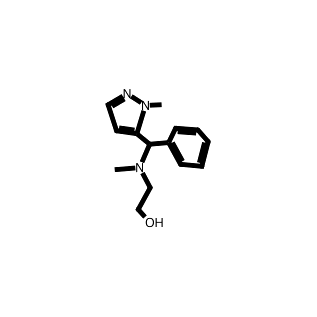 CN(CCO)C(c1ccccc1)c1ccnn1C